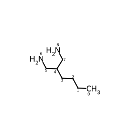 CCCCC(CN)CN